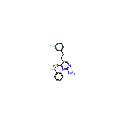 CC(Nc1nc(N)ncc1CCc1cccc(F)c1)c1ccccc1